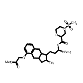 CCCCCC(CCC1C(O)CC2Cc3c(cccc3OCC(=O)OC)CC21)OC(=O)C1CN(S(C)(=O)=O)CCO1